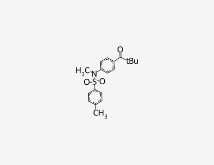 Cc1ccc(S(=O)(=O)N(C)c2ccc(C(=O)C(C)(C)C)cc2)cc1